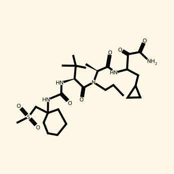 CCCN(C(=O)[C@@H](NC(=O)NC1(CS(C)(=O)=O)CCCCC1)C(C)(C)C)[C@@H](C)C(=O)NC(CC1CC1)C(=O)C(N)=O